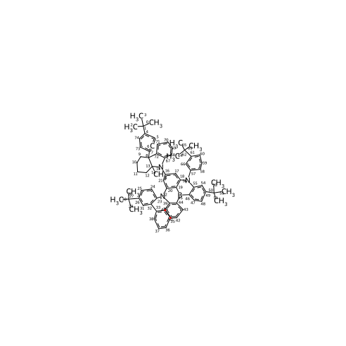 CC(C)(C)c1ccc(C23CCCCC2(C)N(c2cc4c5c(c2)N(c2ccc(C(C)(C)C)cc2-c2ccccc2)c2ccccc2B5c2ccc(C(C)(C)C)cc2N4c2cccc(C(C)(C)C)c2)c2ccccc23)cc1